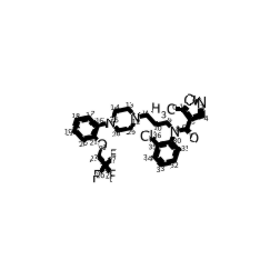 Cc1oncc1C(=O)N(CCCN1CCN(c2ccccc2OCC(F)(F)F)CC1)c1ccccc1Cl